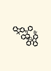 CC1(C)c2ccccc2-c2ccc(N(c3ccccc3)c3ccc(-c4ccccc4C4(O)c5ccccc5-c5ccc(Br)cc54)c4ccccc34)cc21